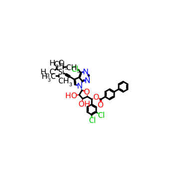 CC(C)[Si](C#Cc1cn([C@@H]2O[C@H]([C@H](OC(=O)c3ccc(-c4ccccc4)cc3)c3ccc(Cl)c(Cl)c3)[C@@H](O)[C@H]2O)c2ncnc(Cl)c12)(C(C)C)C(C)C